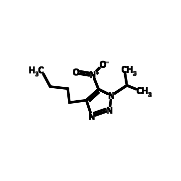 CCCCc1nnn(C(C)C)c1[N+](=O)[O-]